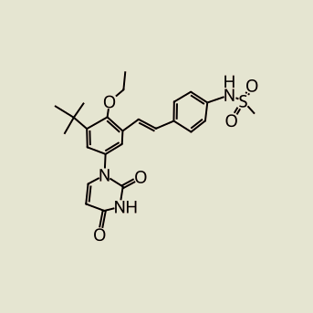 CCOc1c(C=Cc2ccc(NS(C)(=O)=O)cc2)cc(-n2ccc(=O)[nH]c2=O)cc1C(C)(C)C